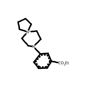 CCOC(=O)c1cccc(N2CC[N+]3(CCCC3)CC2)c1